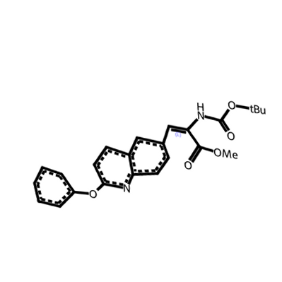 COC(=O)/C(=C\c1ccc2nc(Oc3ccccc3)ccc2c1)NC(=O)OC(C)(C)C